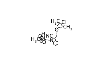 Cc1cc(OCCCc2c(C#N)n(CCC(=O)NS(C)(=O)=O)c3ccccc23)cc(C)c1Cl